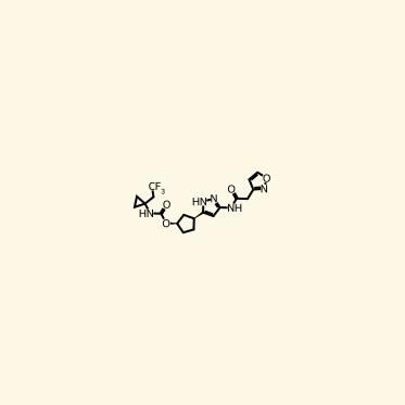 O=C(Cc1ccon1)Nc1cc([C@H]2CC[C@@H](OC(=O)NC3(CC(F)(F)F)CC3)C2)[nH]n1